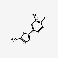 Cc1ncc(-c2ccc(F)c(N)c2)s1